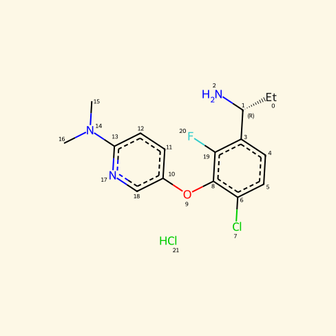 CC[C@@H](N)c1ccc(Cl)c(Oc2ccc(N(C)C)nc2)c1F.Cl